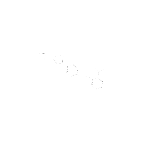 CC(C)c1ccccc1OCc1ccc(-c2cc(NC=O)on2)cc1